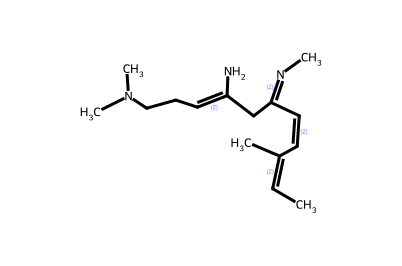 C\C=C(C)/C=C\C(C/C(N)=C/CCN(C)C)=N/C